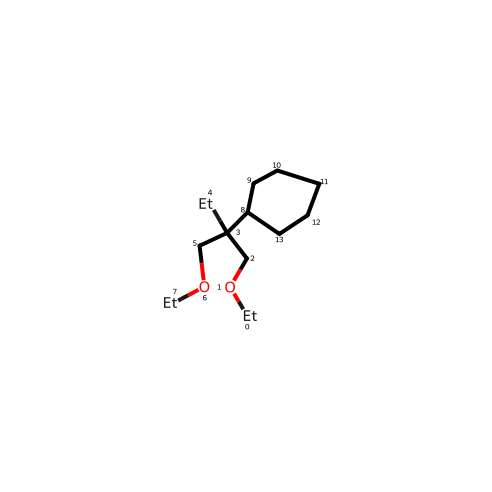 CCOCC(CC)(COCC)C1CCCCC1